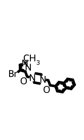 Cn1cc(Br)c(C(=O)N2CCN(CC(=O)c3ccc4ccccc4c3)CC2)n1